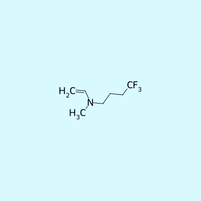 C=CN(C)CCCC(F)(F)F